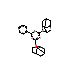 c1ccc(-c2nc(N3C4CC5CC(C4)CC3C5)nc(N3C4CC5CC(C4)CC3C5)n2)cc1